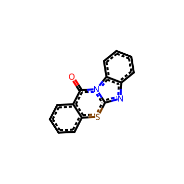 O=c1c2ccccc2sc2nc3ccccc3n12